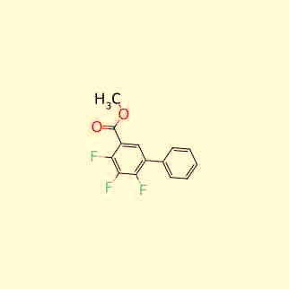 COC(=O)c1cc(-c2ccccc2)c(F)c(F)c1F